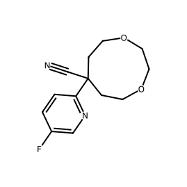 N#CC1(c2ccc(F)cn2)CCOCCOCC1